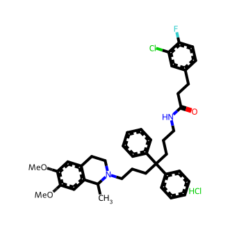 COc1cc2c(cc1OC)C(C)N(CCCC(CCCNC(=O)CCc1ccc(F)c(Cl)c1)(c1ccccc1)c1ccccc1)CC2.Cl